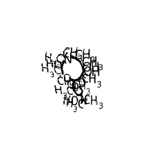 CC[C@H]1OC(=O)[C@H](C)[C@@H](O[C@H]2CC(N(C)C)[C@H](O)[C@@H](C)O2)[C@H](C)[C@@H](O)[C@](C)(O)C[C@@H](C)CN(C)[C@H](C)[C@@H](O)[C@H]1C